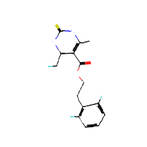 CC1=C(C(=O)OCCc2c(F)cccc2F)C(CF)NC(=S)N1